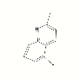 Cc1ccc2c(F)cc[c]c2n1